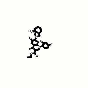 CCOC(=O)c1cn(-c2ccc(F)cc2F)c2nc(N3CC4C=CC=CC4(N)C3)c(F)cc2c1=O